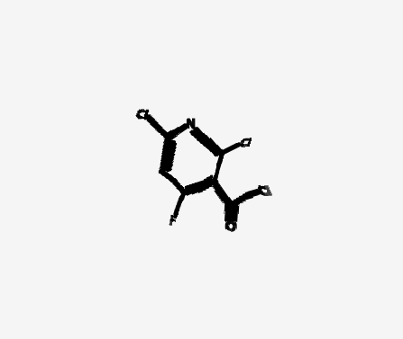 O=C(Cl)c1c(F)cc(Cl)nc1Cl